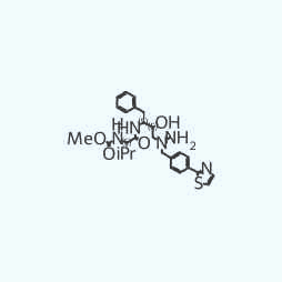 COC(=O)N[C@H](C(=O)N[C@@H](Cc1ccccc1)[C@@H](O)CN(N)Cc1ccc(-c2nccs2)cc1)C(C)C